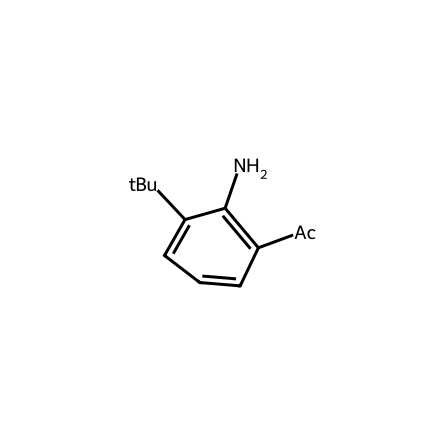 CC(=O)c1cccc(C(C)(C)C)c1N